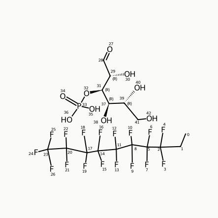 CCC(F)(F)C(F)(F)C(F)(F)C(F)(F)C(F)(F)C(F)(F)C(F)(F)C(F)(F)F.O=C[C@H](O)[C@H](OP(=O)(O)O)[C@H](O)[C@H](O)CO